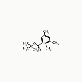 Cc1cc(C)c(C)c(C(=O)OC(C)(C)C)c1